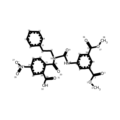 COC(=O)c1cc(NC(=O)N(CCc2ccccc2)C(=O)c2ccc([N+](=O)[O-])cc2C(=O)O)cc(C(=O)OC)c1